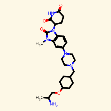 CC(N)COC1CCC(CN2CCN(c3ccc4c(c3)n(C)c(=O)n4C3CCC(=O)NC3=O)CC2)CC1